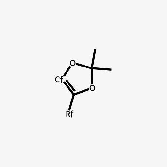 CC1(C)[O][Cf]=[C]([Rf])O1